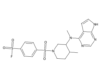 CC1CCN(S(=O)(=O)c2ccc(S(=O)(=O)F)cc2)CC1N(C)c1ncnc2[nH]ccc12